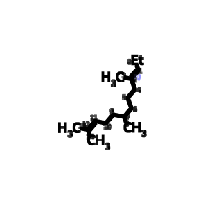 [CH2]C/C=C(\C)CCCC(C)CCC=C(C)C